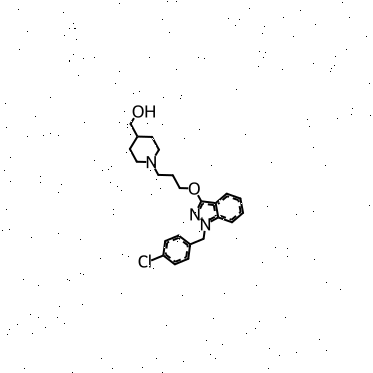 OCC1CCN(CCCOc2nn(Cc3ccc(Cl)cc3)c3ccccc23)CC1